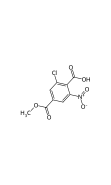 COC(=O)c1cc(Cl)c(C(=O)O)c([N+](=O)[O-])c1